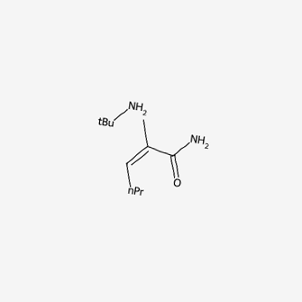 CC(C)(C)N.CCCC=C(C)C(N)=O